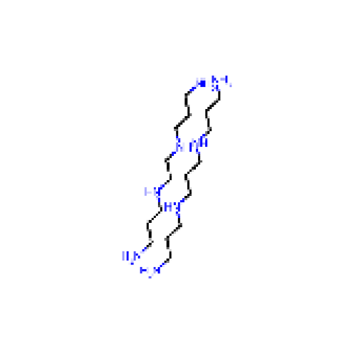 NCCCNCCCNCCCN.NCCCNCCNCCCN